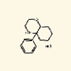 Cl.c1ccc(C23CCCCC2OCCN3)cc1